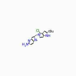 Cn1c(C[n+]2ccc3[nH]c(C(C)(C)C)cc3c2Cl)cc2nc(N)ccc21